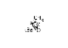 C[C@H]1CN(C(C)(C)C)C(=O)O1